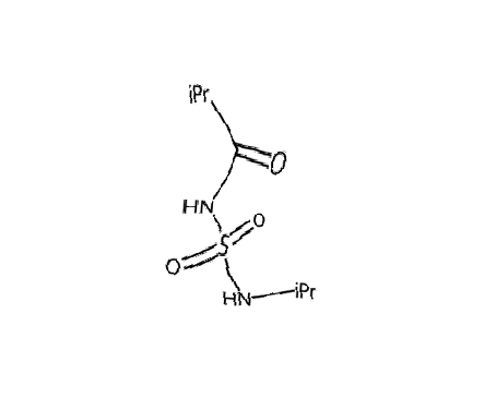 CC(C)NS(=O)(=O)NC(=O)C(C)C